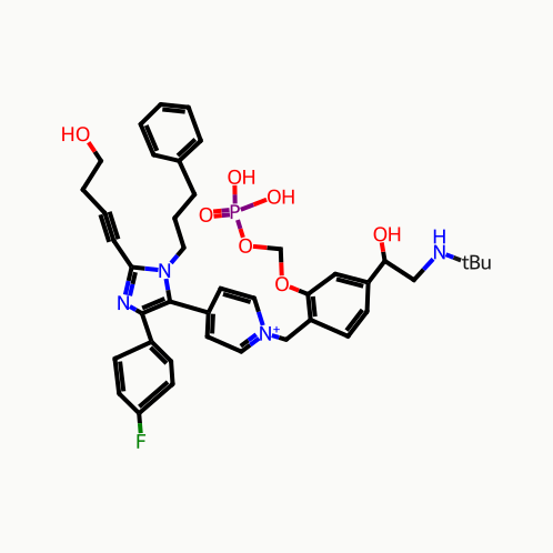 CC(C)(C)NCC(O)c1ccc(C[n+]2ccc(-c3c(-c4ccc(F)cc4)nc(C#CCCO)n3CCCc3ccccc3)cc2)c(OCOP(=O)(O)O)c1